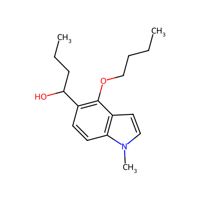 CCCCOc1c(C(O)CCC)ccc2c1ccn2C